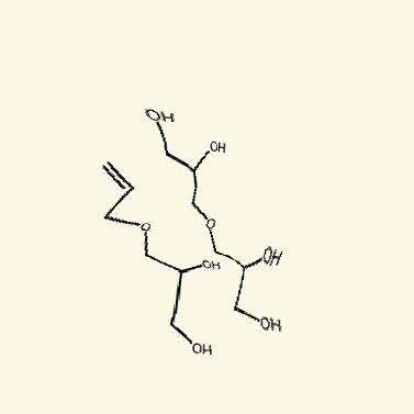 C=CCOCC(O)CO.OCC(O)COCC(O)CO